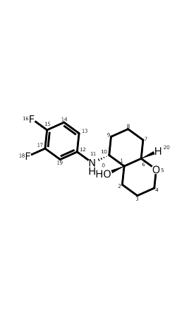 O[C@]12CCCO[C@H]1CCC[C@H]2Nc1ccc(F)c(F)c1